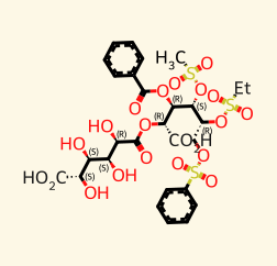 CCS(=O)(=O)O[C@H](COS(=O)(=O)c1ccccc1)[C@@H](OS(C)(=O)=O)[C@H](OC(=O)c1ccccc1)[C@@H](OC(=O)[C@H](O)[C@@H](O)[C@H](O)[C@H](O)C(=O)O)C(=O)O